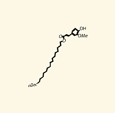 CCCCCCCCCCCCCCCCCCCCCCCCCCOC(=O)C=Cc1ccc(O)c(OC)c1